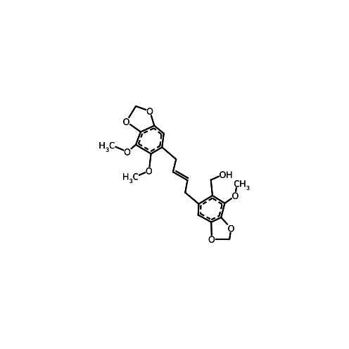 COc1c(C/C=C/Cc2cc3c(c(OC)c2CO)OCO3)cc2c(c1OC)OCO2